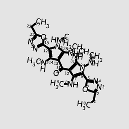 CCc1nnc(-c2c(NC)c(C(=O)c3c(NC)c(-c4nnc(CC)o4)n(NC)c3NC)c(NC)n2NC)o1